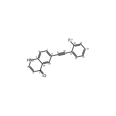 O=c1cc[nH]c2ccc(C#Cc3ccccc3F)cc12